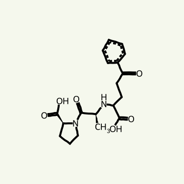 C[C@H](NC(CCC(=O)c1ccccc1)C(=O)O)C(=O)N1CCC[C@H]1C(=O)O